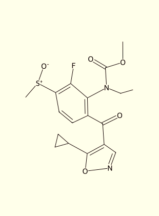 CCN(C(=O)OC)c1c(C(=O)c2cnoc2C2CC2)ccc([S+](C)[O-])c1F